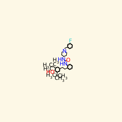 CC(C)(C)c1cc(CCc2ccccc2NC(=O)NC2CCN(Cc3cccc(F)c3)CC2)cc(C(C)(C)C)c1O